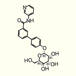 O=C(Nc1cccnc1)c1cccc(-c2ccc(O[C@H]3O[C@H](CO)[C@@H](O)[C@@H](O)[C@H]3O)cc2)c1